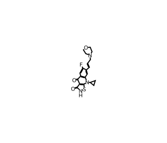 O=c1[nH]sc2c1c(=O)c1cc(F)c(/C=C/CN3CCOCC3)cc1n2C1CC1